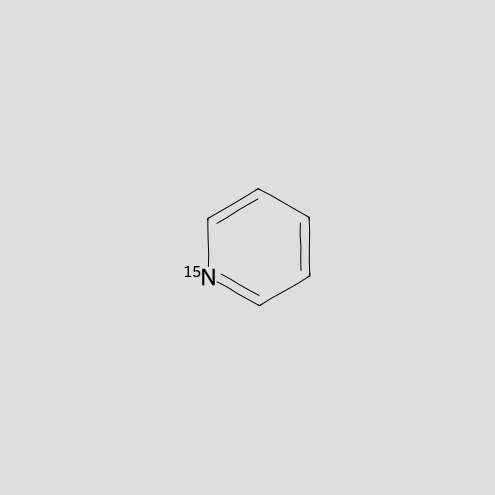 c1cc[15n]cc1